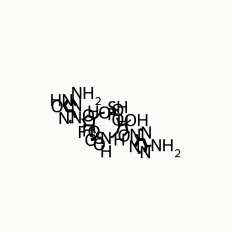 Nc1nc2c(ncn2[C@@H]2O[C@@H]3COP(=O)(S)O[C@H]4[C@@H](O)[C@H](n5cnc6c(N)ncnc65)O[C@@H]4CNS(=O)(=O)O[C@H]3[C@H]2F)c(=O)[nH]1